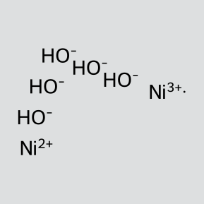 [Ni+2].[Ni+3].[OH-].[OH-].[OH-].[OH-].[OH-]